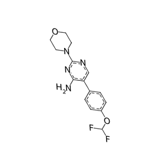 Nc1nc(N2CCOCC2)ncc1-c1ccc(OC(F)F)cc1